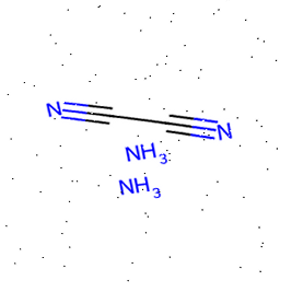 N.N.N#CC#N